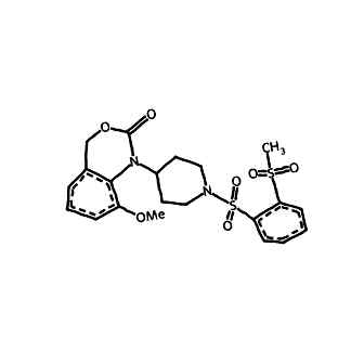 COc1cccc2c1N(C1CCN(S(=O)(=O)c3ccccc3S(C)(=O)=O)CC1)C(=O)OC2